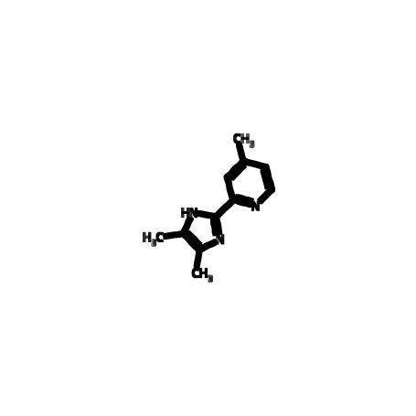 Cc1ccnc(-c2nc(C)c(C)[nH]2)c1